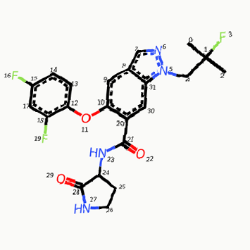 CC(C)(F)Cn1ncc2cc(Oc3ccc(F)cc3F)c(C(=O)NC3CCNC3=O)cc21